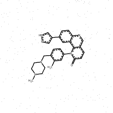 Cc1cc(-n2c(=O)ccc3cnc4ccc(-c5cn[nH]c5)cc4c32)ccc1CN1CCN(C)CC1